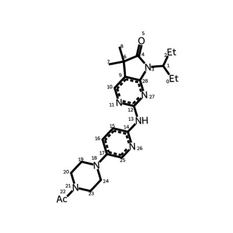 CCC(CC)N1C(=O)C(C)(C)c2cnc(Nc3ccc(N4CCN(C(C)=O)CC4)cn3)nc21